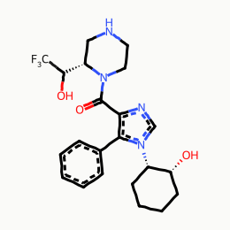 O=C(c1ncn([C@H]2CCCC[C@H]2O)c1-c1ccccc1)N1CCNC[C@H]1C(O)C(F)(F)F